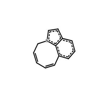 C1=C\Cn2ccc3cccc(c32)\C=C/1